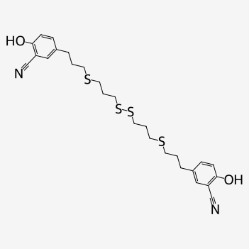 N#Cc1cc(CCCSCCCSSCCCSCCCc2ccc(O)c(C#N)c2)ccc1O